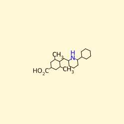 CC1CC(C(=O)O)CC(C)C1CC1CCCC(C2CCCCC2)N1